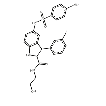 CC(C)(C)c1ccc(S(=O)(=O)Nc2ccc3c(c2)C(c2cccc(F)c2)C(C(=O)NCCO)N3)cc1